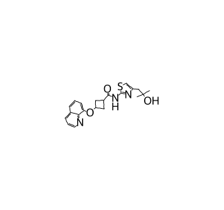 CC(C)(O)Cc1csc(NC(=O)C2CC(Oc3cccc4cccnc34)C2)n1